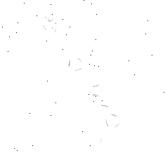 Fc1cc(SC(F)(F)F)ccc1C=Cc1nc(COc2ccc(COCCn3ccnn3)cc2)co1